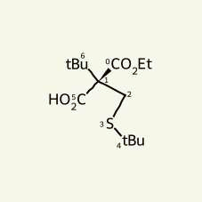 CCOC(=O)[C@@](CSC(C)(C)C)(C(=O)O)C(C)(C)C